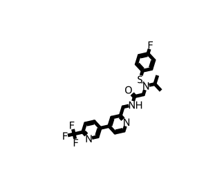 CC(C)N(CC(=O)NCc1cc(-c2ccc(C(F)(F)F)nc2)ccn1)Sc1ccc(F)cc1